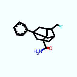 NC(=O)C12CC3CC(c4ccccc4)(CC(C1)C3CF)C2